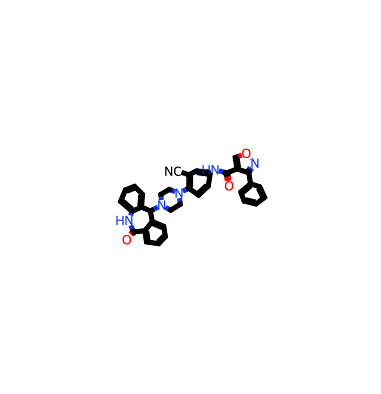 N#Cc1cc(NC(=O)c2conc2-c2ccccc2)ccc1N1CCN(C2c3ccccc3NC(=O)c3ccccc32)CC1